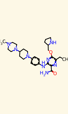 CCc1nc(C(N)=O)c(Nc2ccc(N3CCC(N4CCN(C)CC4)CC3)cc2)nc1OCC1CCCN1